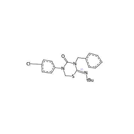 CC(C)(C)/N=C1\SCN(c2ccc(Cl)cc2)C(=O)N1Cc1ccccc1